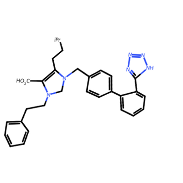 CC(C)CCC1=C(C(=O)O)N(CCc2ccccc2)CN1Cc1ccc(-c2ccccc2-c2nnn[nH]2)cc1